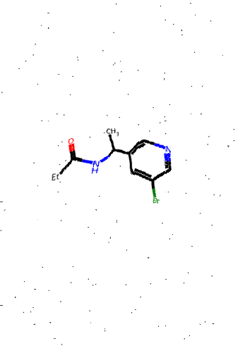 CCC(=O)NC(C)c1cncc(Br)c1